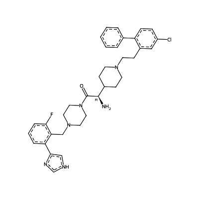 N[C@@H](C(=O)N1CCN(Cc2c(F)cccc2-c2c[nH]cn2)CC1)C1CCN(CCc2cc(Cl)ccc2-c2ccccc2)CC1